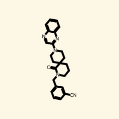 N#Cc1cccc(CN2CCCC3(CCN(c4cnc5ccccc5n4)CC3)C2=O)c1